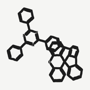 c1ccc(-c2nc(-c3ccccc3)nc(-c3ccc(-c4cccc5c4C4(c6ccccc6Oc6ccccc64)c4ccccc4-5)cc3)n2)cc1